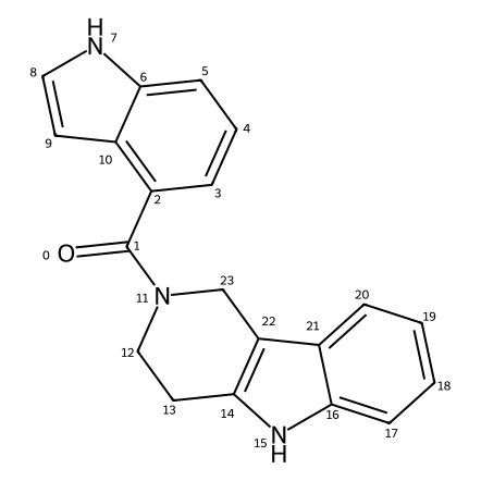 O=C(c1cccc2[nH]ccc12)N1CCc2[nH]c3ccccc3c2C1